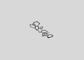 SC1=[N+](c2ccccc2)CCC2Oc3c(cc4c5c3CCCN5CCC4)C=C12